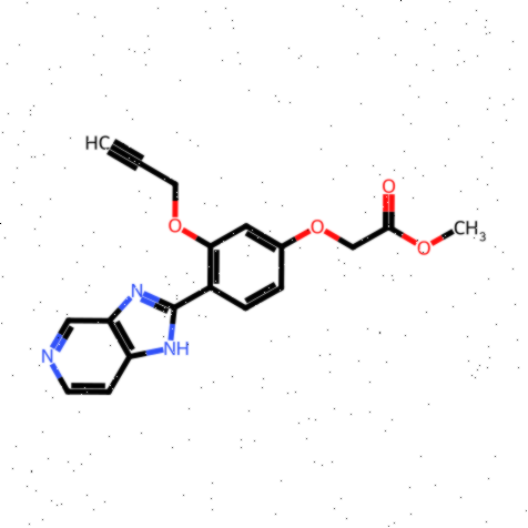 C#CCOc1cc(OCC(=O)OC)ccc1-c1nc2cnccc2[nH]1